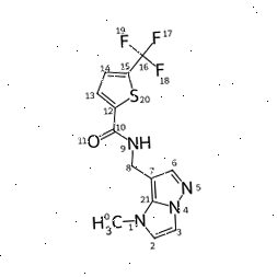 Cn1ccn2ncc(CNC(=O)c3ccc(C(F)(F)F)s3)c12